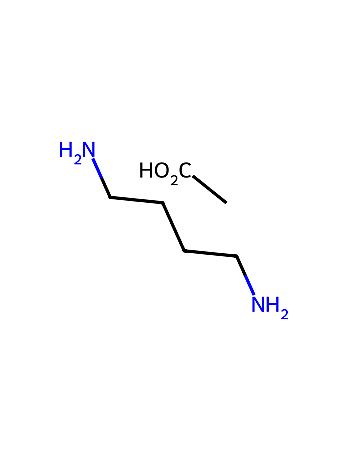 CC(=O)O.NCCCCN